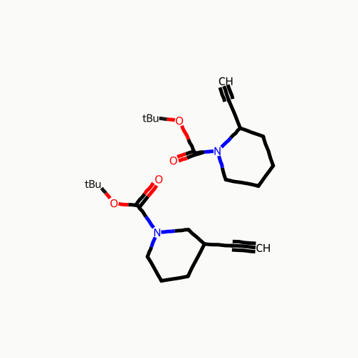 C#CC1CCCCN1C(=O)OC(C)(C)C.C#CC1CCCN(C(=O)OC(C)(C)C)C1